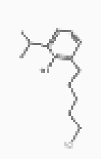 CC(C)c1cccc(CCCCCS)c1O